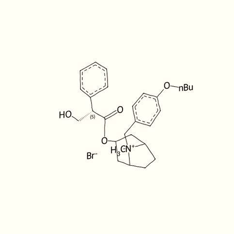 CCCCOc1ccc(C[N+]2(C)C3CCC2CC(OC(=O)[C@H](CO)c2ccccc2)C3)cc1.[Br-]